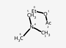 CCOC(C)=O.CN(C)C